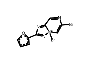 BrC1=C[N+]2(Br)N=C(c3ccco3)N=C2C=N1